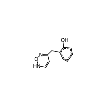 Oc1ccccc1CC1=NONC=C1